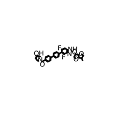 CC1COC2C1OC[C@@H]2Oc1nc2c(F)c(-c3ccc(-c4ccc(C(=O)N5CC[C@@H](O)C5)cc4)cc3)c(F)cc2[nH]1